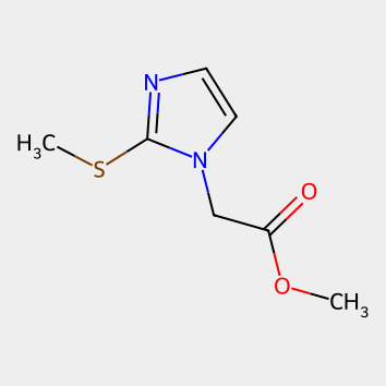 COC(=O)Cn1ccnc1SC